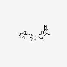 CCc1ncnc2c1ccn2[C@@H]1C=C(CCc2cc(F)c3cc(Cl)c(N)nc3c2)[C@@H](O)C1